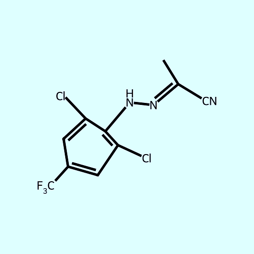 CC(C#N)=NNc1c(Cl)cc(C(F)(F)F)cc1Cl